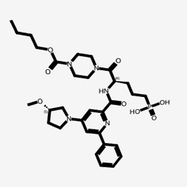 CCCCOC(=O)N1CCN(C(=O)[C@@H](CCCP(=O)(O)O)NC(=O)c2cc(N3CC[C@H](OC)C3)cc(-c3ccccc3)n2)CC1